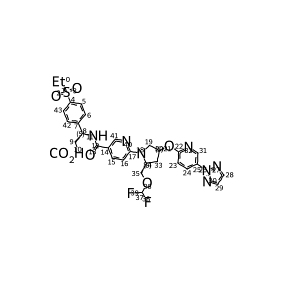 CCS(=O)(=O)c1ccc([C@H](CC(=O)O)NC(=O)c2ccc(N3C[C@@H](Oc4ccc(-n5nccn5)cn4)C[C@H]3COC(F)F)nc2)cc1